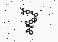 CCOC(=O)c1ccc(OCC2CCCN2C(=O)Cc2cc(Cl)c(NC(=O)c3cn(C)c4ccccc34)cc2F)cc1